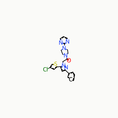 O=C(Cn1nc(-c2ccccc2)cc1-c1cc(Cl)cs1)N1CCN(c2ncccn2)CC1